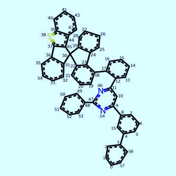 c1ccc(-c2cccc(-c3cc(-c4ccccc4-c4cccc5c4-c4ccccc4C54c5ccccc5-c5sc6ccccc6c54)nc(-c4ccccc4)n3)c2)cc1